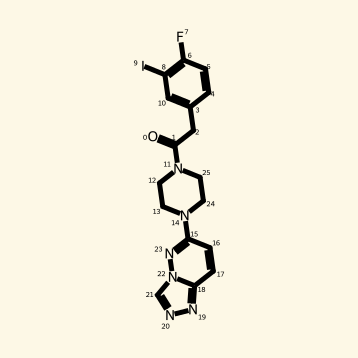 O=C(Cc1ccc(F)c(I)c1)N1CCN(c2ccc3nncn3n2)CC1